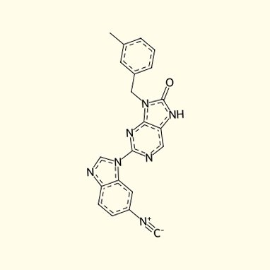 [C-]#[N+]c1ccc2ncn(-c3ncc4[nH]c(=O)n(Cc5cccc(C)c5)c4n3)c2c1